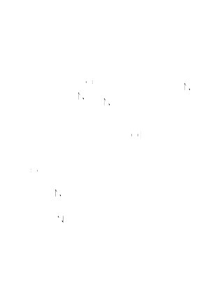 COc1cc(/C=C/C2=NOC(C)(C3=CCC(C#N)C=C3)N2CCO)ccc1-n1cnc(C)c1